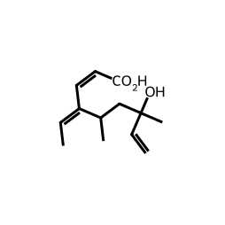 C=CC(C)(O)CC(C)C(/C=C\C(=O)O)=C\C